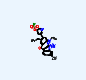 CCCCn1c2cc(-c3cncc(OS(=O)(=O)F)c3)c(CC(C)C)cc2c(=O)c2c3ccc(C#N)cc3[nH]c21